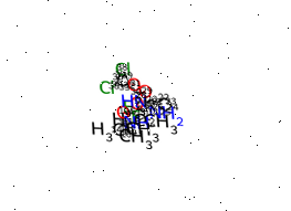 CC(C)[C@H](C(=O)C(F)(F)C(=O)NCC(C)(C)C)C(N)[C@H](Cc1ccccc1)NC(=O)COc1cc(Cl)cc(Cl)c1